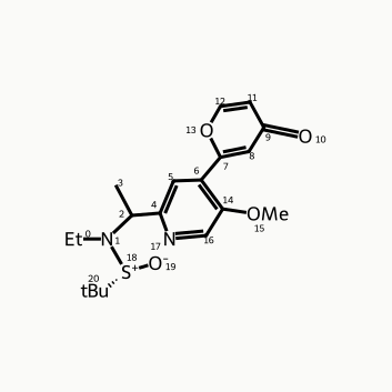 CCN(C(C)c1cc(-c2cc(=O)cco2)c(OC)cn1)[S@+]([O-])C(C)(C)C